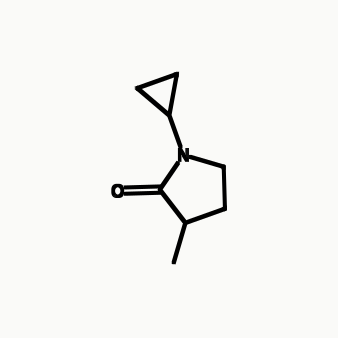 CC1CCN(C2CC2)C1=O